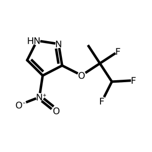 CC(F)(Oc1n[nH]cc1[N+](=O)[O-])C(F)F